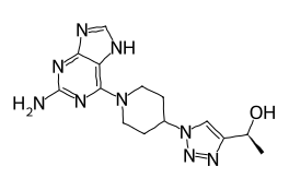 C[C@H](O)c1cn(C2CCN(c3nc(N)nc4nc[nH]c34)CC2)nn1